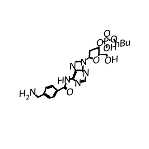 CCCCOP(=O)(O)OC1C[C@H](n2cnc3c(NC(=O)c4ccc(CN)cc4)ncnc32)O[C@@H]1CO